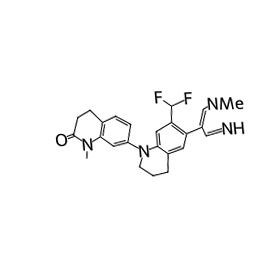 CN/C=C(\C=N)c1cc2c(cc1C(F)F)N(c1ccc3c(c1)N(C)C(=O)CC3)CCC2